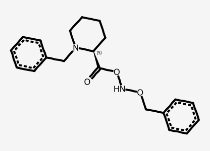 O=C(ONOCc1ccccc1)[C@@H]1CCCCN1Cc1ccccc1